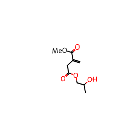 C=C(CC(=O)OCC(C)O)C(=O)OC